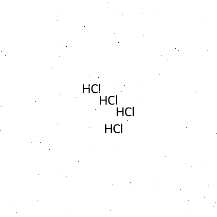 Cl.Cl.Cl.Cl